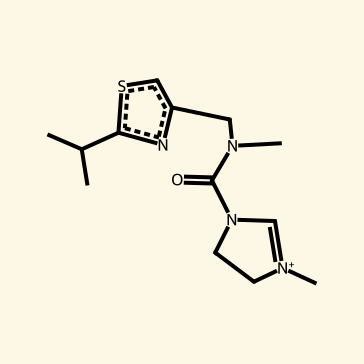 CC(C)c1nc(CN(C)C(=O)N2C=[N+](C)CC2)cs1